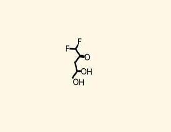 O=C(CC(O)CO)C(F)F